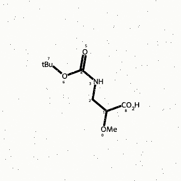 COC(CNC(=O)OC(C)(C)C)C(=O)O